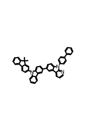 CC1(C)c2ccccc2-c2ccc(-n3c4ccccc4c4cc(-c5ccc6c(c5)c5cccnc5n6-c5ccc(-c6ccccc6)cc5)ccc43)cc21